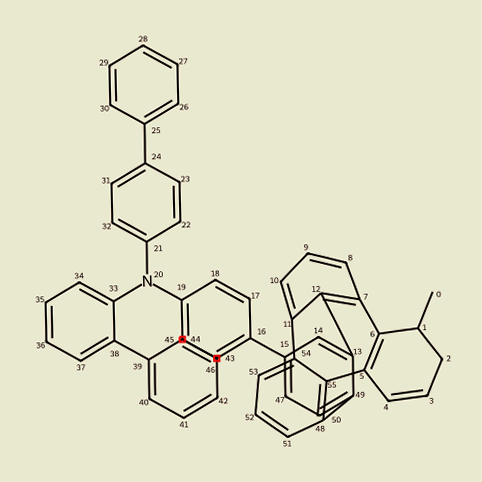 CC1CC=CC2=C1c1cccc3c1-c1cc(-c4ccc(N(c5ccc(-c6ccccc6)cc5)c5ccccc5-c5ccccc5)cc4)ccc1-c1cccc-3c12